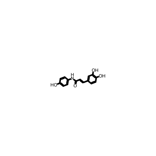 O=C(/C=C/c1ccc(O)c(O)c1)Nc1ccc(O)cc1